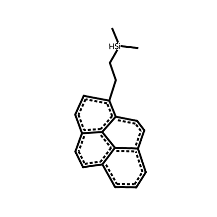 C[SiH](C)CCc1ccc2ccc3cccc4ccc1c2c34